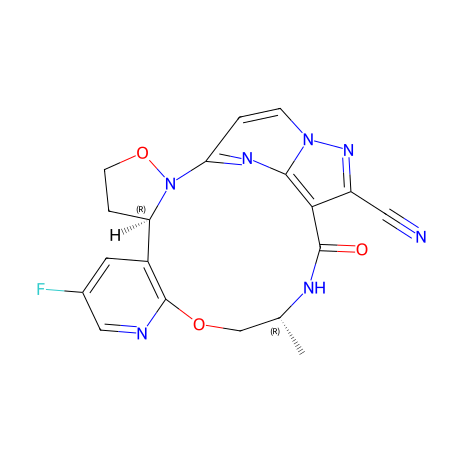 C[C@@H]1COc2ncc(F)cc2[C@H]2CCON2c2ccn3nc(C#N)c(c3n2)C(=O)N1